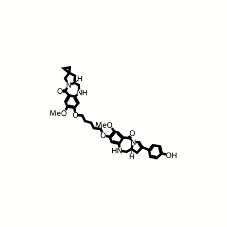 COc1cc2c(cc1OCCCCCOc1cc3c(cc1OC)C(=O)N1CC4(CC4)C[C@H]1CN3)NC[C@@H]1CC(c3ccc(O)cc3)=CN1C2=O